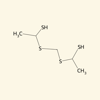 CC(S)SCSC(C)S